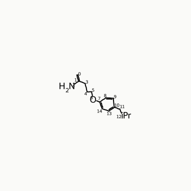 C=C(N)CCCOc1ccc(CC(C)C)cc1